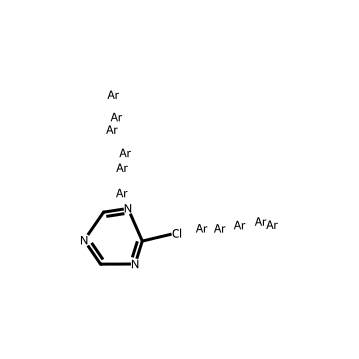 Clc1ncncn1.[Ar].[Ar].[Ar].[Ar].[Ar].[Ar].[Ar].[Ar].[Ar].[Ar].[Ar]